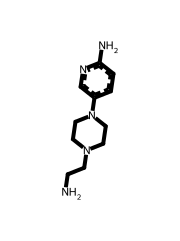 NCCN1CCN(c2ccc(N)nc2)CC1